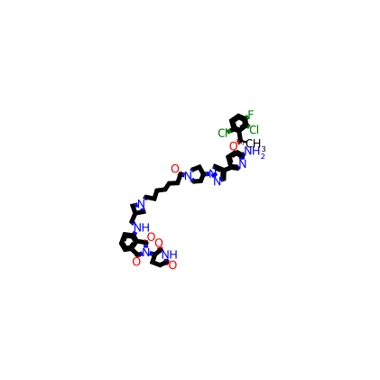 C[C@@H](Oc1cc(-c2cnn(C3CCN(C(=O)CCCCCCN4CC(CNc5cccc6c5C(=O)N(C5CCC(=O)NC5=O)C6=O)C4)CC3)c2)cnc1N)c1c(Cl)ccc(F)c1Cl